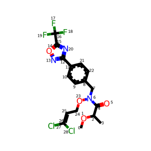 COC(C)C(=O)N(Cc1ccc(-c2noc(C(F)(F)F)n2)cc1)OCC=C(Cl)Cl